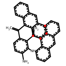 C=C(c1ccc(N)c(N)c1C(=C)c1c2ccccc2cc2ccccc12)c1c2ccccc2cc2ccccc12